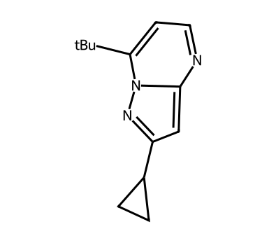 CC(C)(C)c1ccnc2cc(C3CC3)nn12